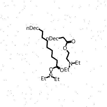 CCCCCCCCCCCC(=O)OCCN(CC)CC.CCCCCCCCCCCCCCCCCC(=O)ON(CC)CC